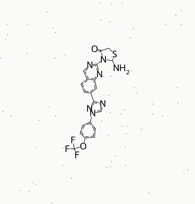 NC1SCC(=O)N1c1ncc2ccc(-c3ncn(-c4ccc(OC(F)(F)F)cc4)n3)cc2n1